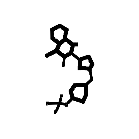 Cc1c(-c2ccn(Cc3ccc(OC(F)(F)F)cc3)n2)[nH]c2ccccc2c1=O